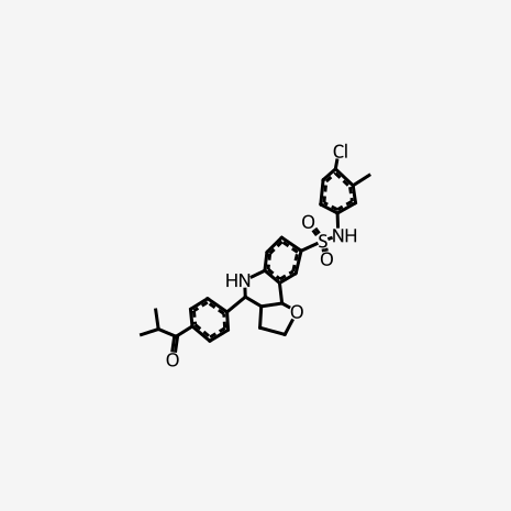 Cc1cc(NS(=O)(=O)c2ccc3c(c2)C2OCCC2C(c2ccc(C(=O)C(C)C)cc2)N3)ccc1Cl